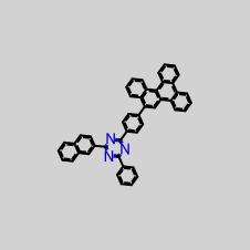 c1ccc(-c2nc(-c3ccc(-c4cc5c6ccccc6c6ccccc6c5c5ccccc45)cc3)nc(-c3ccc4ccccc4c3)n2)cc1